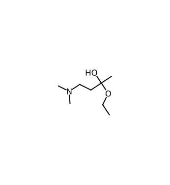 CCOC(C)(O)CCN(C)C